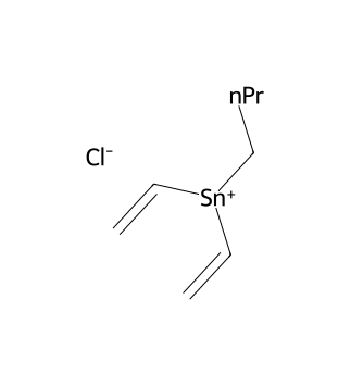 C=[CH][Sn+]([CH]=C)[CH2]CCC.[Cl-]